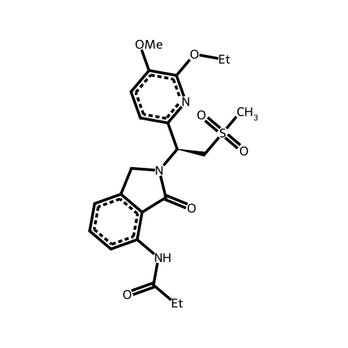 CCOc1nc([C@@H](CS(C)(=O)=O)N2Cc3cccc(NC(=O)CC)c3C2=O)ccc1OC